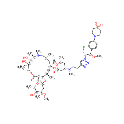 CC[C@H]1OC(=O)[C@H](C)[C@@H](O[C@H]2C[C@@](C)(OC)[C@@H](O)[C@H](C)O2)[C@H](C)[C@@H](O[C@H]2C[C@@H](N(C)CCc3cn([C@H](CF)[C@H](OC)c4ccc(N5CCS(=O)(=O)CC5)cc4)nn3)C[C@@H](C)O2)[C@](C)(O)C[C@@H](C)CN(C)[C@H](C)[C@@H](O)[C@]1(C)O